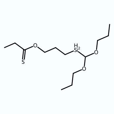 CCCOC(OCCC)[SiH2]CCCOC(=S)CC